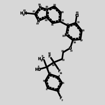 CC(O)(c1ccc(F)cc1)C(F)(F)CCOc1ccc(Cl)c(-c2ccn3nc(N)nc3c2)n1